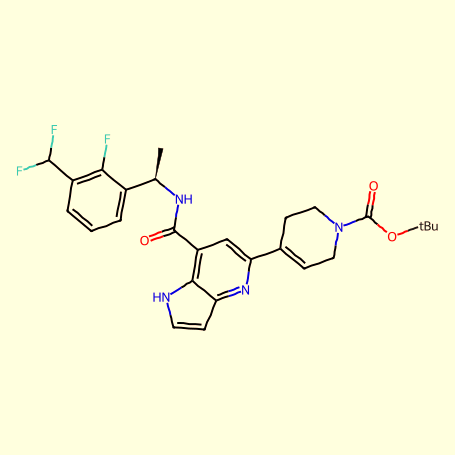 C[C@@H](NC(=O)c1cc(C2=CCN(C(=O)OC(C)(C)C)CC2)nc2cc[nH]c12)c1cccc(C(F)F)c1F